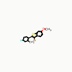 COc1ccc2c(Br)c(-c3ccc(F)cc3C)sc2c1